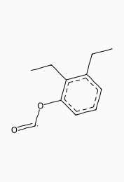 CCc1cccc(O[C]=O)c1CC